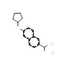 CCOC(=O)C(O)c1ccc2cc(OC3CCCC3)ccc2c1